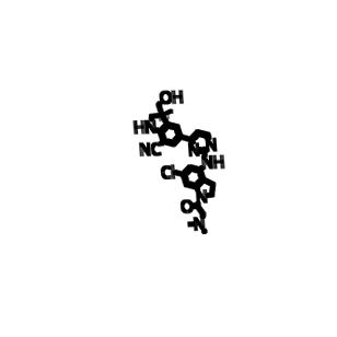 CN(C)CC(=O)N1CCc2c(Nc3nccc(-c4cc(C#N)c5c(c4)[C@@](C)(CO)CN5)n3)cc(Cl)cc21